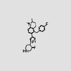 CC1CCc2c(ccc(-c3cnn(C4CCNCC4F)c3)c2Cc2ccc(F)cc2)N1C